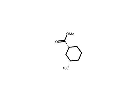 COC(=O)[C@@H]1CCC[C@H](C(C)(C)C)C1